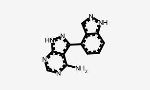 Nc1ncnc2[nH]nc(-c3cccc4[nH]ncc34)c12